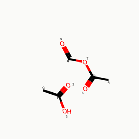 CC(=O)O.CC(=O)OC=O